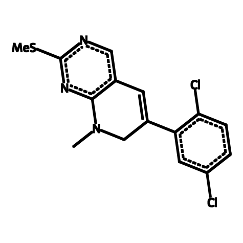 CSc1ncc2c(n1)N(C)CC(c1cc(Cl)ccc1Cl)=C2